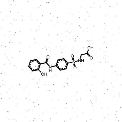 O=C(O)CNS(=O)(=O)c1ccc(NC(=O)c2ccccc2O)cc1